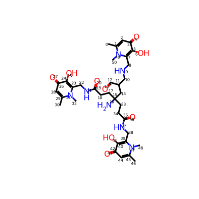 Cc1cc(=O)c(O)c(CNCC(C=O)CC(N)(CCC(=O)NCc2c(O)c(=O)cc(C)n2C)CCC(=O)NCc2c(O)c(=O)cc(C)n2C)n1C